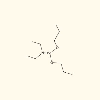 CCCO[SiH](OCCC)N(CC)CC